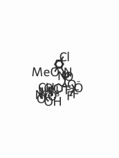 COc1ccc(Cl)cc1-c1noc(C2CC23CCN(S(=O)(=O)c2c(O)on[n+]2C)CC3)n1.O=C([O-])C(F)(F)F